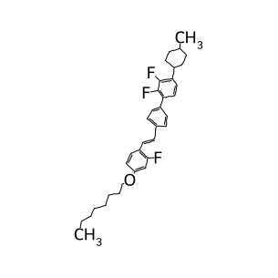 CCCCCCCCOc1ccc(/C=C/c2ccc(-c3ccc(C4CCC(C)CC4)c(F)c3F)cc2)c(F)c1